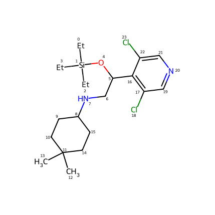 CC[Si](CC)(CC)OC(CNC1CCC(C)(C)CC1)c1c(Cl)cncc1Cl